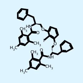 Cc1cc(C)c(C(=O)N[C@H](COc2cccc(OC[C@H](Cc3ccccc3)NC(=O)c3c(C)cc(C)cc3C)c2I)Cc2ccccc2)c(C)c1